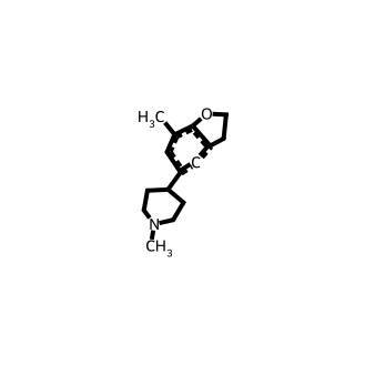 Cc1cc(C2CCN(C)CC2)cc2c1OCC2